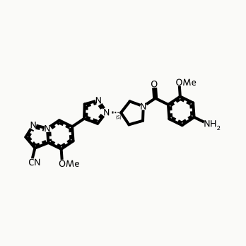 COc1cc(N)ccc1C(=O)N1CC[C@H](n2cc(-c3cc(OC)c4c(C#N)cnn4c3)cn2)C1